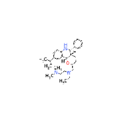 C=C(C)c1ccc2c(c1)[C@H]1OC(CN(CC)CCN(C)C)CC[C@H]1[C@@H](c1ccccc1)N2